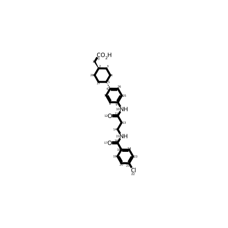 O=C(O)C[C@H]1CC[C@H](c2ccc(NC(=O)CCNC(=O)c3ccc(Cl)cc3)cc2)CC1